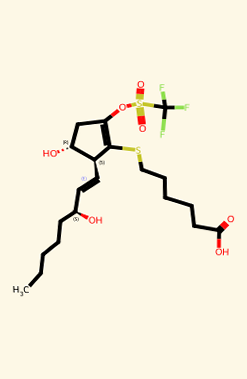 CCCCC[C@H](O)/C=C/[C@@H]1C(SCCCCCC(=O)O)=C(OS(=O)(=O)C(F)(F)F)C[C@H]1O